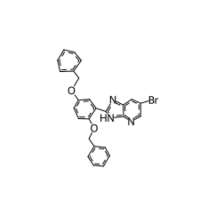 Brc1cnc2[nH]c(-c3cc(OCc4ccccc4)ccc3OCc3ccccc3)nc2c1